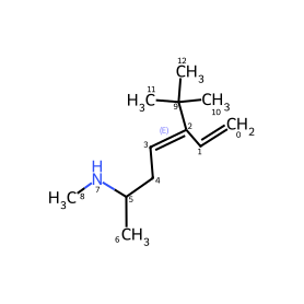 C=C/C(=C\CC(C)NC)C(C)(C)C